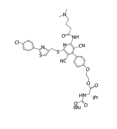 CC(C)[C@H](NC(=O)OC(C)(C)C)C(=O)OCCOc1ccc(-c2c(C#N)c(NC(=O)CCCN(C)C)nc(SCc3csc(-c4ccc(Cl)cc4)n3)c2C#N)cc1